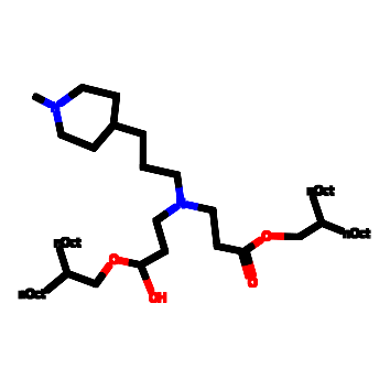 CCCCCCCCC(CCCCCCCC)COC(=O)CCN(CCCC1CCN(C)CC1)CCC(O)OCC(CCCCCCCC)CCCCCCCC